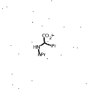 CCCNC(C(=O)O)C(C)C